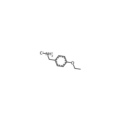 [CH2-][NH2+]Cc1ccc(OCC)cc1